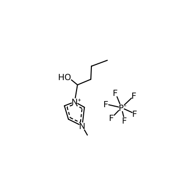 CCCC(O)[n+]1ccn(C)c1.F[P-](F)(F)(F)(F)F